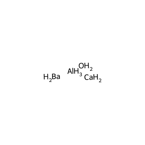 O.[AlH3].[BaH2].[CaH2]